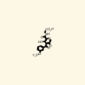 O=C(O)CNC(=O)c1ncc2onc(-c3cccc(OC(F)(F)F)c3)c2c1O